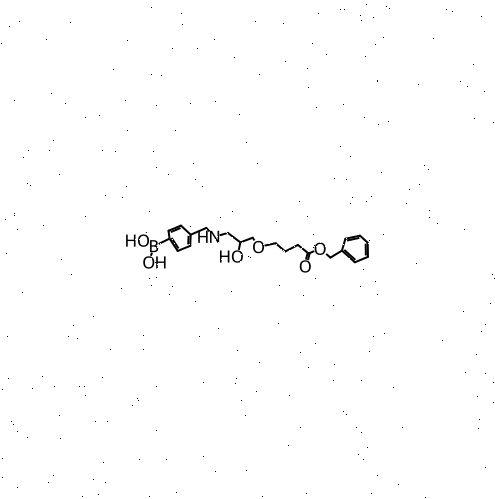 O=C(CCCOCC(O)CNCc1ccc(B(O)O)cc1)OCc1ccccc1